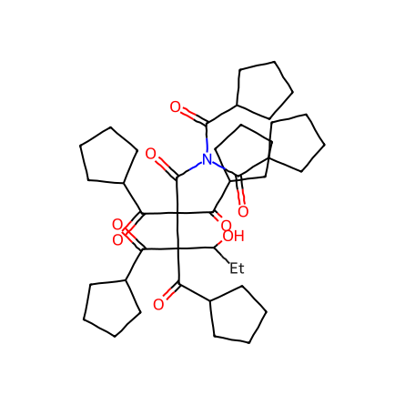 CCC(O)C(C(=O)C1CCCC1)(C(=O)C1CCCC1)C(C(=O)C1CCCC1)(C(=O)C1CCCC1)C(=O)N(C(=O)C1CCCC1)C(=O)C1CCCC1